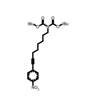 CC(C)(C)OC(=O)N(CCCCCCC#Cc1ccc([N+](=O)[O-])cc1)C(=O)OC(C)(C)C